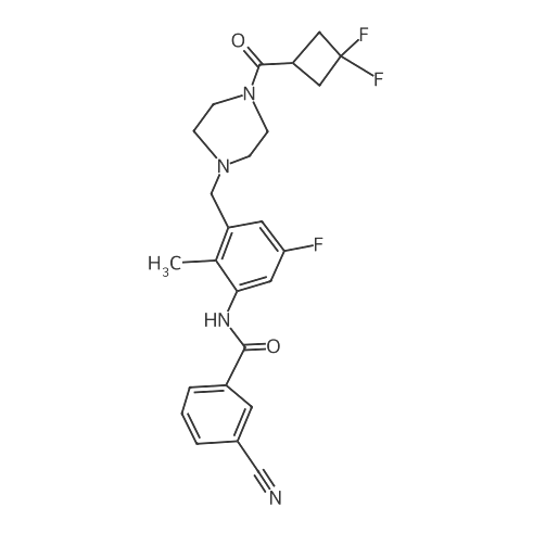 Cc1c(CN2CCN(C(=O)C3CC(F)(F)C3)CC2)cc(F)cc1NC(=O)c1cccc(C#N)c1